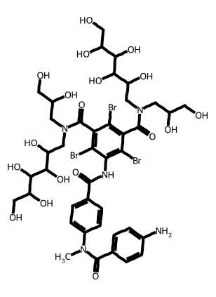 CN(C(=O)c1ccc(N)cc1)c1ccc(C(=O)Nc2c(Br)c(C(=O)N(CC(O)CO)CC(O)C(O)C(O)C(O)CO)c(Br)c(C(=O)N(CC(O)CO)CC(O)C(O)C(O)C(O)CO)c2Br)cc1